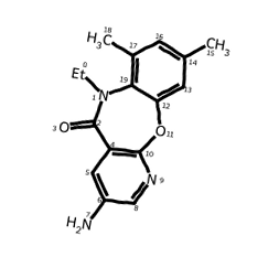 CCN1C(=O)c2cc(N)cnc2Oc2cc(C)cc(C)c21